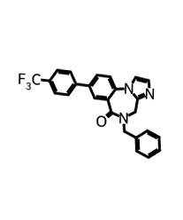 O=C1c2cc(-c3ccc(C(F)(F)F)cc3)ccc2-n2ccnc2CN1Cc1ccccc1